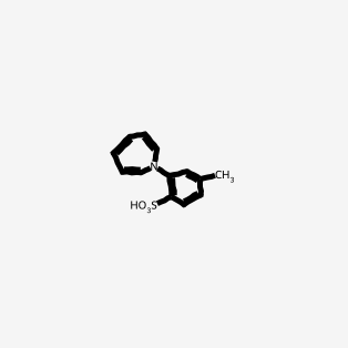 Cc1ccc(S(=O)(=O)O)c(N2C=CC=CC=C2)c1